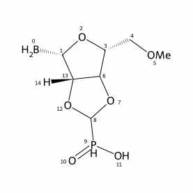 B[C@@H]1O[C@H](COC)C2OC([PH](=O)O)O[C@@H]21